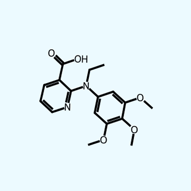 CCN(c1cc(OC)c(OC)c(OC)c1)c1ncccc1C(=O)O